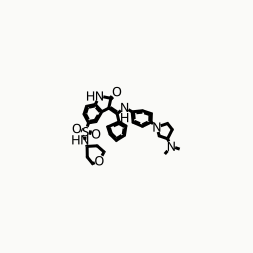 CN(C)C1CCN(c2ccc(N/C(=C3\C(=O)Nc4ccc(S(=O)(=O)NC5CCOCC5)cc43)c3ccccc3)cc2)C1